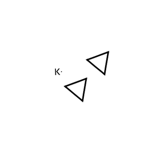 C1CC1.C1CC1.[K]